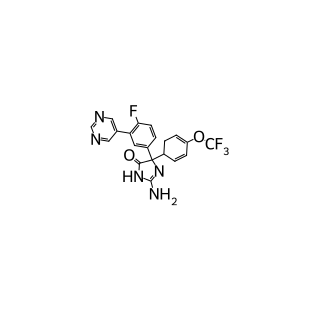 NC1=NC(c2ccc(F)c(-c3cncnc3)c2)(C2C=CC(OC(F)(F)F)=CC2)C(=O)N1